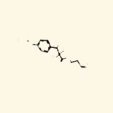 CCCCSC(=O)C(F)(F)C(O)c1ccc(OC)cc1